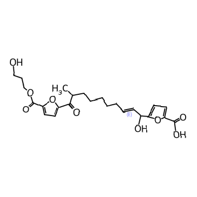 CC(CCCCC/C=C/C(O)c1ccc(C(=O)O)o1)C(=O)c1ccc(C(=O)OCCCO)o1